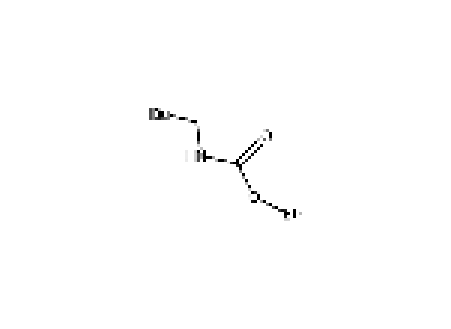 C[CH]OC(=O)NCC(C)CC